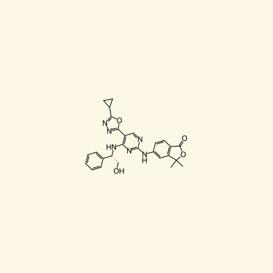 CC1(C)OC(=O)c2ccc(Nc3ncc(-c4nnc(C5CC5)o4)c(N[C@H](CO)c4ccccc4)n3)cc21